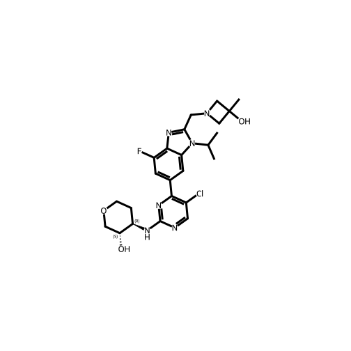 CC(C)n1c(CN2CC(C)(O)C2)nc2c(F)cc(-c3nc(N[C@@H]4CCOC[C@H]4O)ncc3Cl)cc21